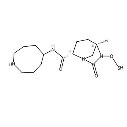 O=C(NC1CCCNCCC1)[C@@H]1CC[C@@H]2CN1C(=O)N2OS